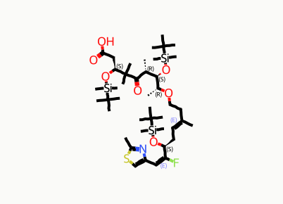 C/C(=C\C[C@H](O[Si](C)(C)C(C)(C)C)/C(F)=C\c1csc(C)n1)CCO[C@H](C)[C@@H](O[Si](C)(C)C(C)(C)C)[C@@H](C)C(=O)C(C)(C)[C@H](CC(=O)O)O[Si](C)(C)C(C)(C)C